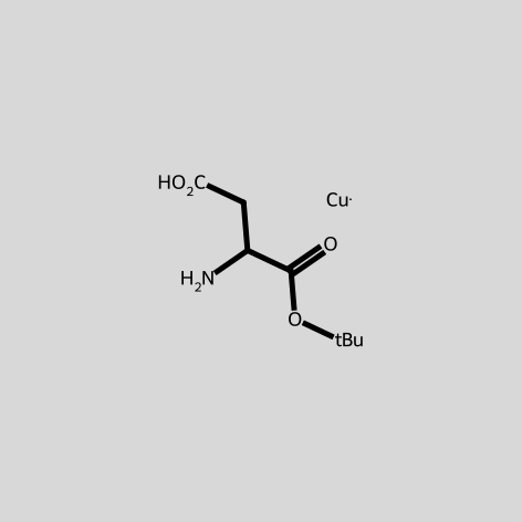 CC(C)(C)OC(=O)C(N)CC(=O)O.[Cu]